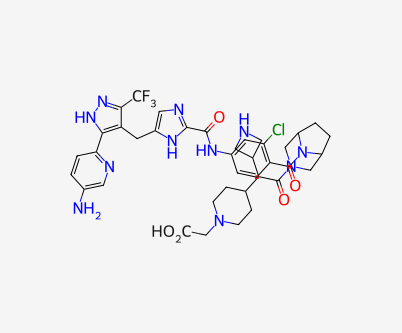 Nc1ccc(-c2[nH]nc(C(F)(F)F)c2Cc2cnc(C(=O)Nc3ccc(C(=O)N4C5CCC4CN(C(=O)C(C4CCN(CC(=O)O)CC4)C4CNC4)C5)c(Cl)c3)[nH]2)nc1